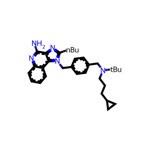 CCCCc1nc2c(N)nc3ccccc3c2n1Cc1ccc(CN(CCCC2CC2)C(C)(C)C)cc1